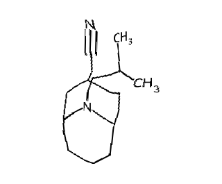 CC(C)CN1C2CCCC1CC(C#N)C2